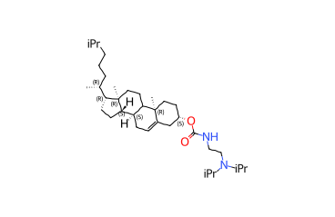 CC(C)CCC[C@@H](C)[C@H]1CC[C@H]2[C@@H]3CC=C4C[C@@H](OC(=O)NCCN(C(C)C)C(C)C)CC[C@]4(C)C3CC[C@]12C